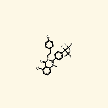 CNc1cccc(Cl)c1C(=O)N(CCc1ccc(Cl)cc1)Cc1ccc(C(F)(C(F)(F)F)C(F)(F)F)cc1